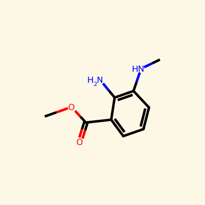 CNc1cccc(C(=O)OC)c1N